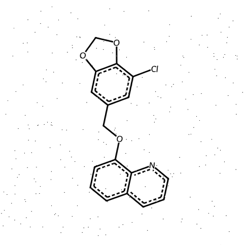 Clc1cc(COc2cccc3cccnc23)cc2c1OCO2